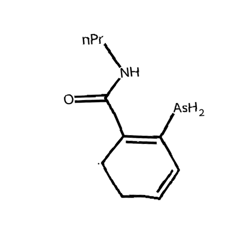 CCCNC(=O)C1=C([AsH2])C=CC[CH]1